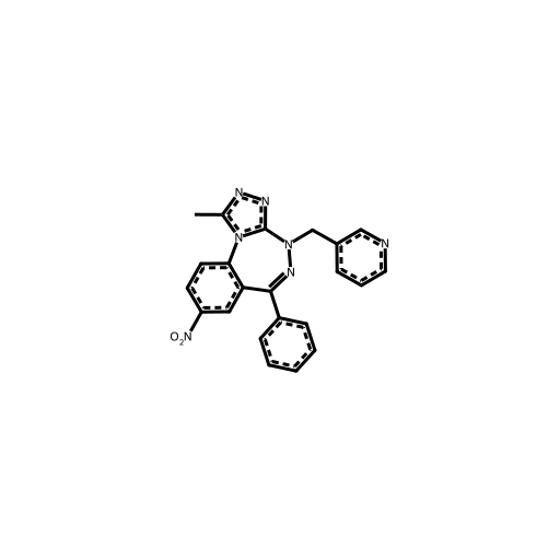 Cc1nnc2n1-c1ccc([N+](=O)[O-])cc1C(c1ccccc1)=NN2Cc1cccnc1